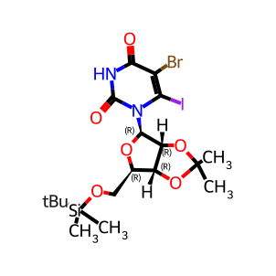 CC1(C)O[C@@H]2[C@H](O1)[C@@H](CO[Si](C)(C)C(C)(C)C)O[C@H]2n1c(I)c(Br)c(=O)[nH]c1=O